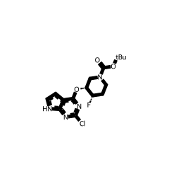 CC(C)(C)OC(=O)N1CC[C@H](F)[C@H](Oc2nc(Cl)nc3[nH]ccc23)C1